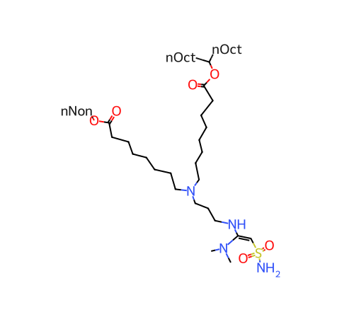 CCCCCCCCCOC(=O)CCCCCCCN(CCCCCCCC(=O)OC(CCCCCCCC)CCCCCCCC)CCCN/C(=C/S(N)(=O)=O)N(C)C